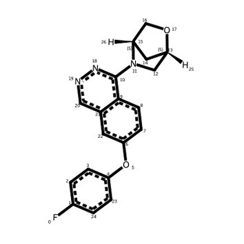 Fc1ccc(Oc2ccc3c(N4C[C@@H]5C[C@H]4CO5)nncc3c2)cc1